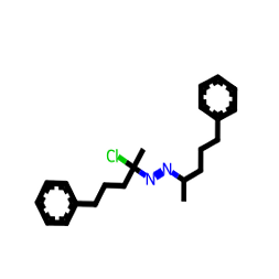 CC(CCCc1ccccc1)N=NC(C)(Cl)CCCc1ccccc1